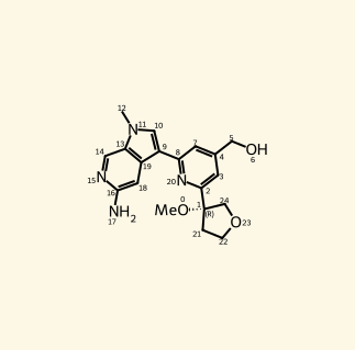 CO[C@@]1(c2cc(CO)cc(-c3cn(C)c4cnc(N)cc34)n2)CCOC1